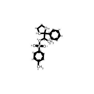 Cc1ccc(S(=O)(=O)OC(C)C2(c3ccccc3)OCCO2)cc1